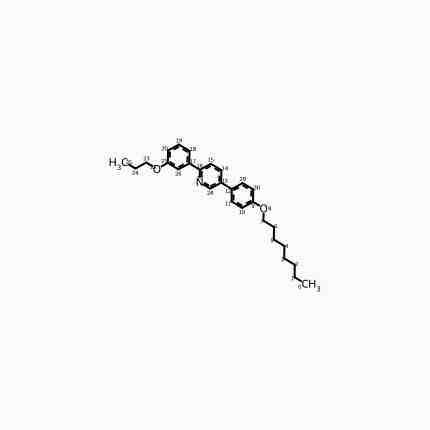 CCCCCCCCOc1ccc(-c2ccc(-c3cccc(OCCC)c3)nc2)cc1